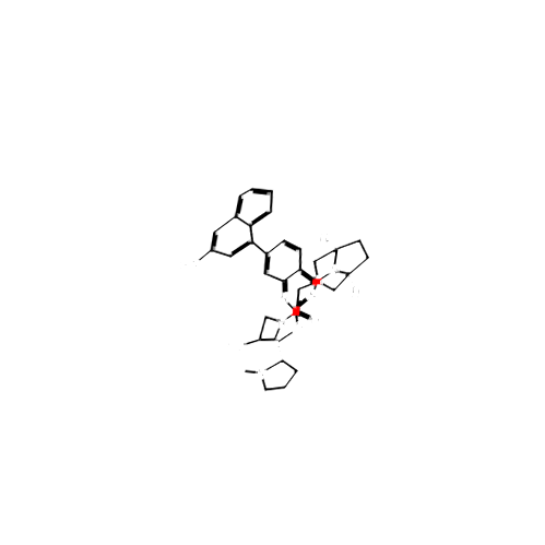 CN1CCC[C@H]1COc1nc(N2[C@@H]3CC[C@H]2CN(CC(=O)N2CC(O)C2)C3)c2ccc(-c3cc(O)cc4ccccc34)cc2n1